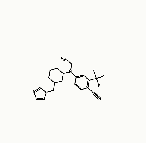 CCN(c1ccc(C#N)c(C(F)(F)F)c1)C1CCCC(Cn2ccnc2)C1